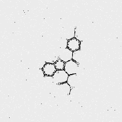 COC(=O)C(C)c1c(C(=O)c2ccc(F)cc2)oc2ccccc12